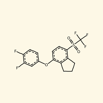 O=S(=O)(c1ccc(Oc2ccc(F)c(F)c2)c2c1CCC2)C(F)(F)F